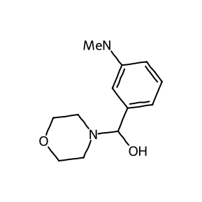 CNc1cccc(C(O)N2CCOCC2)c1